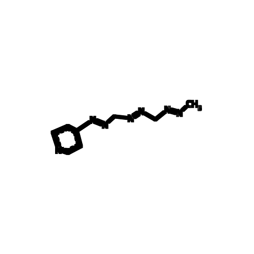 CN=NCN=NCN=Nc1ccncc1